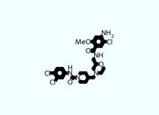 COc1cc(N)c(Cl)cc1C(=O)NCC1CN(CC2CCN(C(=O)Nc3ccc(Cl)c(Cl)c3)CC2)CCO1